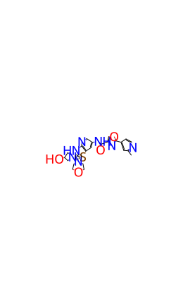 Cc1cc(-c2nc(C(=O)Nc3cnc4c(c3)S[C@@](N3CCOCC3)(N3CC(O)C3)N4)co2)ccn1